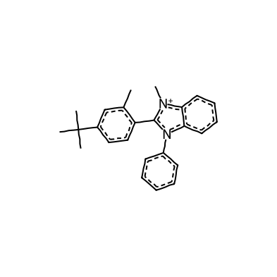 Cc1cc(C(C)(C)C)ccc1-c1n(-c2ccccc2)c2ccccc2[n+]1C